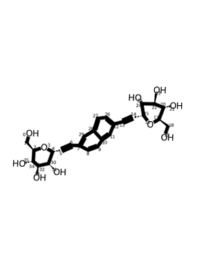 OC[C@H]1O[C@H](C#Cc2ccc3cc(C#C[C@H]4O[C@H](CO)[C@@H](O)[C@H](O)[C@@H]4O)ccc3c2)[C@H](O)[C@@H](O)[C@@H]1O